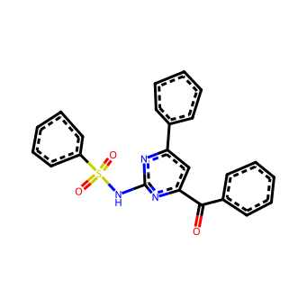 O=C(c1ccccc1)c1cc(-c2ccccc2)nc(NS(=O)(=O)c2ccccc2)n1